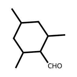 CC1CC(C)C(C=O)C(C)C1